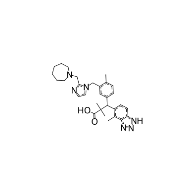 Cc1ccc(C(c2ccc3[nH]nnc3c2C)C(C)(C)C(=O)O)cc1Cn1ccnc1CN1CCCCCC1